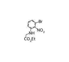 CCOC(=O)CNc1cccc(Br)c1[N+](=O)[O-]